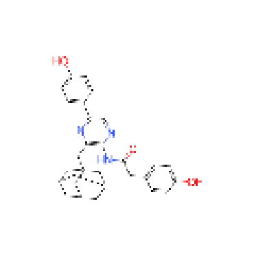 O=C(Cc1ccc(O)cc1)Nc1ncc(-c2ccc(O)cc2)nc1CC12CC3CC(CC(C3)C1)C2